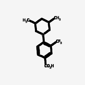 CC1CC(C)CN(c2ccc(C(=O)O)cc2C(F)(F)F)C1